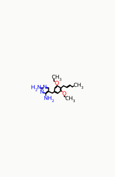 CCC=CCc1c(OCC)cc(Cc2cnc(N)nc2N)cc1OCC